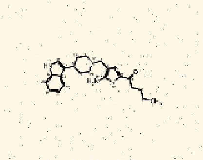 CCCCC(=O)c1nc(CN2CCC(c3c[nH]c4ccccc34)CC2)c(N)s1